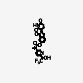 CN(C(=O)Oc1ccc2c(c1)C(=O)N(C1CCC(=O)NC1=O)C2)c1ccc(C(O)C(F)(F)F)nc1